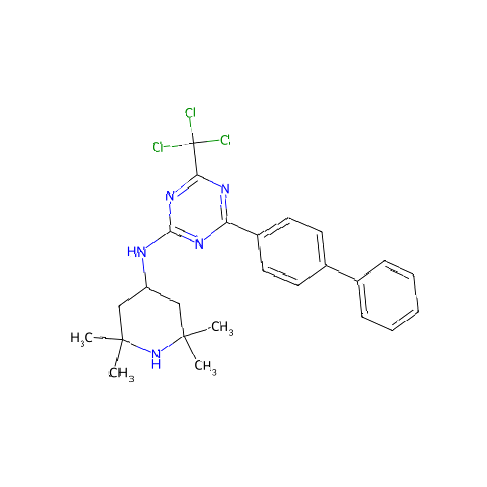 CC1(C)CC(Nc2nc(-c3ccc(-c4ccccc4)cc3)nc(C(Cl)(Cl)Cl)n2)CC(C)(C)N1